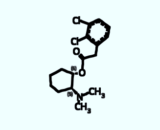 CN(C)[C@H]1CCCC[C@@H]1OC(=O)Cc1cccc(Cl)c1Cl